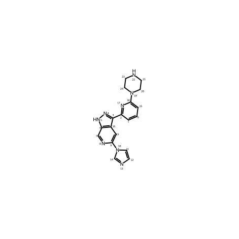 c1cc(-c2n[nH]c3cnc(-n4ccnc4)cc23)nc(N2CCNCC2)c1